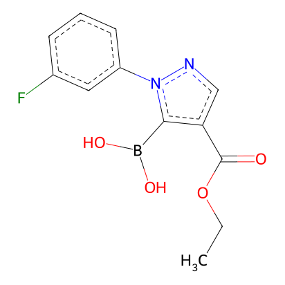 CCOC(=O)c1cnn(-c2cccc(F)c2)c1B(O)O